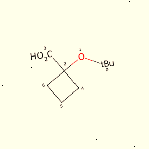 CC(C)(C)OC1(C(=O)O)CCC1